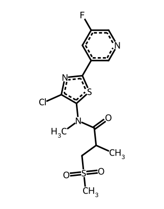 CC(CS(C)(=O)=O)C(=O)N(C)c1sc(-c2cncc(F)c2)nc1Cl